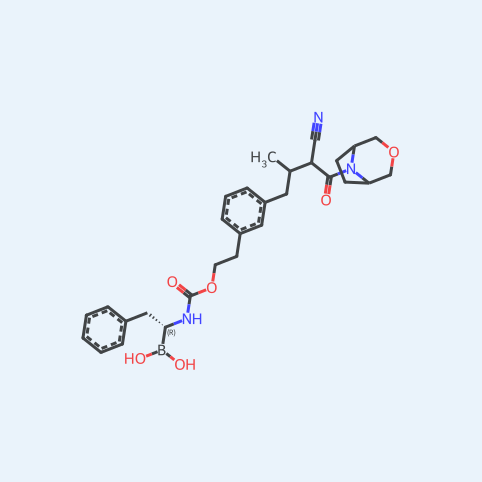 CC(Cc1cccc(CCOC(=O)N[C@@H](Cc2ccccc2)B(O)O)c1)C(C#N)C(=O)N1C2CCC1COC2